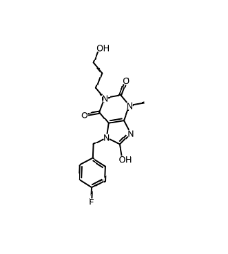 Cn1c(=O)n(CCCO)c(=O)c2c1nc(O)n2Cc1ccc(F)cc1